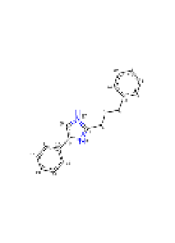 c1ccc(CCCc2nc(-c3ccccc3)c[nH]2)cc1